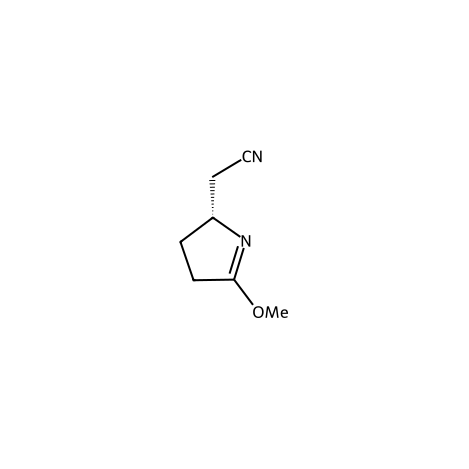 COC1=N[C@@H](CC#N)CC1